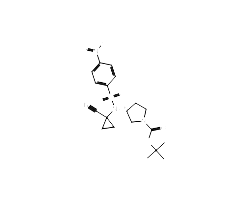 CC(C)(C)OC(=O)N1CC[C@@H](N(C2(C#N)CC2)S(=O)(=O)c2ccc([N+](=O)[O-])cc2)C1